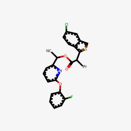 CC(C)C(C(=O)OC(C#N)c1cccc(Oc2ccccc2F)n1)c1scc2cc(Cl)ccc12